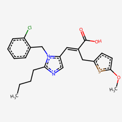 CCCCc1ncc(/C=C(\Cc2ccc(OC)s2)C(=O)O)n1Cc1ccccc1Cl